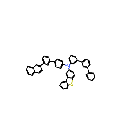 C1=CC(c2cccc(-c3cccc(N(c4ccc(-c5cccc(-c6ccc7ccccc7c6)c5)cc4)c4ccc5sc6ccccc6c5c4)c3)c2)=CCC1